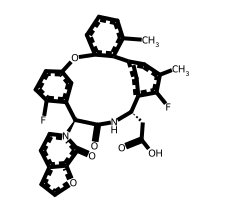 Cc1cc2cc(c1F)[C@H](CC(=O)O)NC(=O)[C@@H](n1ccc3ccoc3c1=O)c1cc(ccc1F)Oc1cccc(C)c1-2